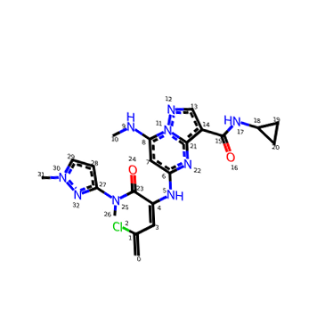 C=C(Cl)/C=C(/Nc1cc(NC)n2ncc(C(=O)NC3CC3)c2n1)C(=O)N(C)c1ccn(C)n1